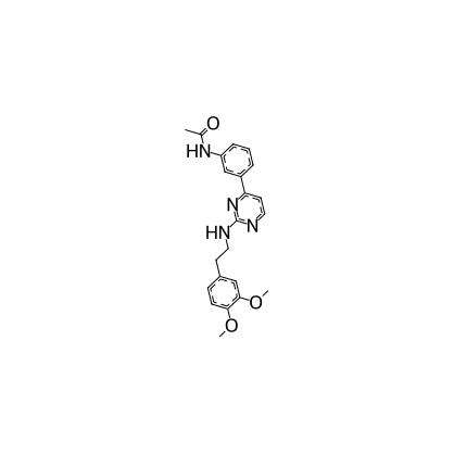 COc1ccc(CCNc2nccc(-c3cccc(NC(C)=O)c3)n2)cc1OC